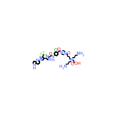 Cn1c(-c2cn(-c3ccc4[nH]ccc4n3)nc2C(F)(F)F)cnc1C(=O)Nc1ccc(C(=O)N2CCN(C(=O)CCC[N+](CCCCN)(CCCCN)CC(=O)O)CC2)c(Cl)c1